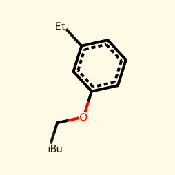 [CH2]Cc1cccc(OCC(C)CC)c1